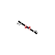 CCCC[SiH2]CCCCOC(=O)/C=C/C(=O)OCCCC[SiH2]CCCC